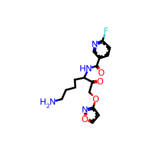 NCCCCC(NC(=O)c1ccc(F)nc1)C(=O)COc1ccon1